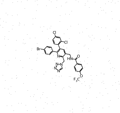 O=C(NCc1cc(-c2ccc(Cl)cc2Cl)c(-c2ccc(Br)cc2)nc1Cn1cnnn1)c1ccc(OC(F)(F)F)cc1